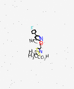 CC(C)(Sc1nc(CCOc2ncc(-c3ccc(F)cc3)cc2C#N)cs1)C(=O)O